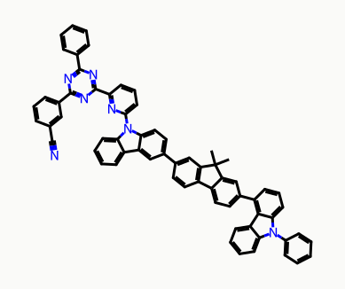 CC1(C)c2cc(-c3ccc4c(c3)c3ccccc3n4-c3cccc(-c4nc(-c5ccccc5)nc(-c5cccc(C#N)c5)n4)n3)ccc2-c2ccc(-c3cccc4c3c3ccccc3n4-c3ccccc3)cc21